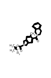 Cc1cc2c(cc1C(=O)N1CCc3ccccc3C1)CN(C(=O)OC(C)(C)C)C2